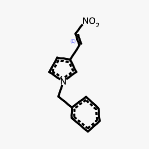 O=[N+]([O-])/C=C/c1ccn(Cc2ccccc2)c1